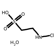 O.O=S(=O)(O)CCNCl